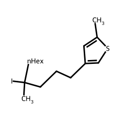 CCCCCCC(C)(I)CCCc1csc(C)c1